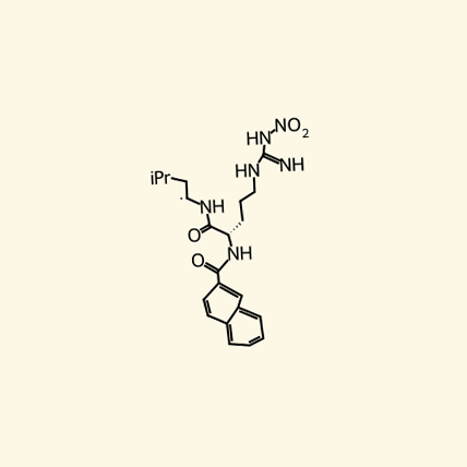 CC(C)C[CH]NC(=O)[C@H](CCCNC(=N)N[N+](=O)[O-])NC(=O)c1ccc2ccccc2c1